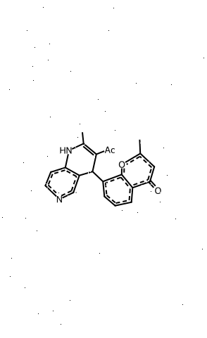 CC(=O)C1=C(C)Nc2ccn[c]c2C1c1cccc2c(=O)cc(C)oc12